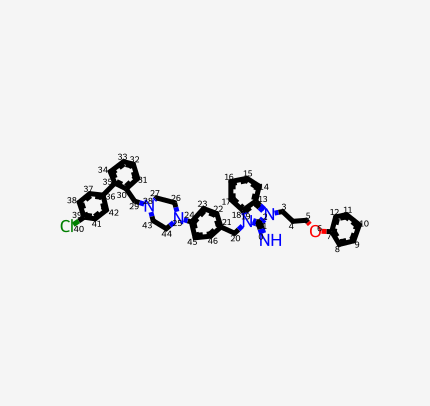 N=c1n(CCCOc2ccccc2)c2ccccc2n1Cc1ccc(N2CCN(Cc3ccccc3-c3ccc(Cl)cc3)CC2)cc1